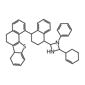 C1=CCC2C(=C1)SC1=C2CCc2cccc(C3CCC(C4NC(C5C=CCCC5)N4c4ccccc4)c4ccccc43)c21